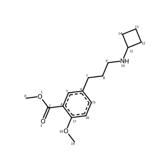 COC(=O)c1cc(CCCNC2CCC2)ccc1OC